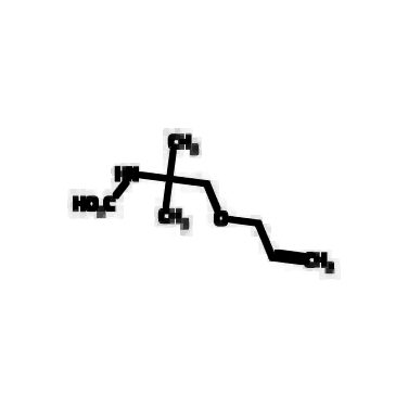 C=CCOCC(C)(C)NC(=O)O